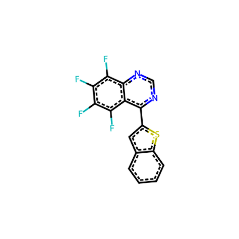 Fc1c(F)c(F)c2c(-c3cc4ccccc4s3)ncnc2c1F